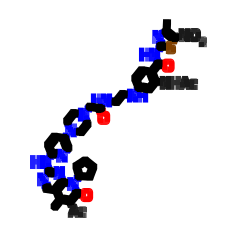 CC(=O)Nc1cc(NCCNC(=O)CN2CCN(c3ccc(Nc4ncc5c(C)c(C(C)=O)c(=O)n(C6CCCC6)c5n4)nc3)CC2)ccc1C(=O)Nc1nc(C)c([N+](=O)[O-])s1